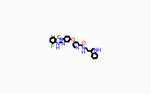 Cn1c(Nc2ccccc2F)nc2cc(Oc3ccnc(C(=O)NCCc4c[nH]c5ccccc45)c3)ccc21